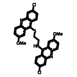 COc1ccc2nc3cc(Cl)ccc3c(NCCSc3c4ccc(Cl)cc4nc4ccc(OC)cc34)c2c1